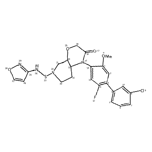 COc1cc(-c2cccc(Cl)c2)c(F)cc1N1C(=O)COC2CN(SNc3ccon3)CCC21